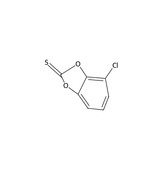 S=c1oc2cccc(Cl)c2o1